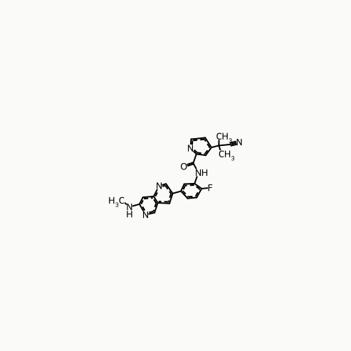 CNc1cc2ncc(-c3ccc(F)c(NC(=O)c4cc(C(C)(C)C#N)ccn4)c3)cc2cn1